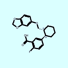 O=C(O)c1cc([C@@H]2CCCC[C@H]2COc2ccc3c(c2)OCO3)ccc1F